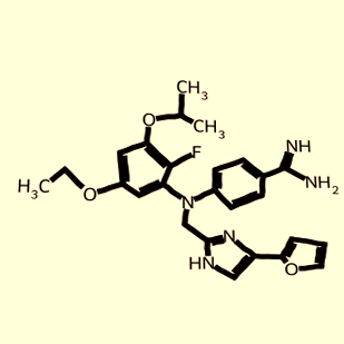 CCOc1cc(OC(C)C)c(F)c(N(Cc2nc(-c3ccco3)c[nH]2)c2ccc(C(=N)N)cc2)c1